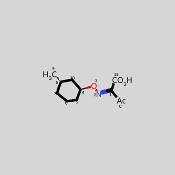 CC(=O)C(=NO[C@H]1CCC[C@H](C)C1)C(=O)O